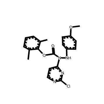 COc1ccc(NN(C(=O)Oc2c(C)cccc2C)c2ccnc(Cl)n2)cc1